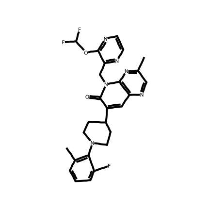 Cc1cnc2cc(C3CCN(c4c(C)cccc4F)CC3)c(=O)n(Cc3nccnc3OC(F)F)c2n1